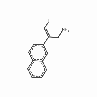 NC/C(=C\F)c1ccc2ccccc2c1